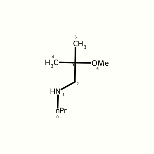 CCCNCC(C)(C)OC